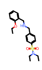 CCOc1ccccc1CNCc1ccc(S(=O)(=O)N(CC)CC)cc1